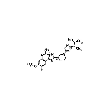 COc1cc2nc(N)n3nc([C@@H]4CCCN(c5cnn(C(C)C(C)O)c5)C4)nc3c2cc1F